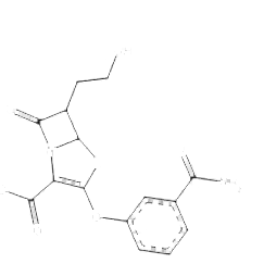 NC(=O)c1cccc(OC2=C(C(=O)O)N3C(=O)C(CCO)C3S2)c1